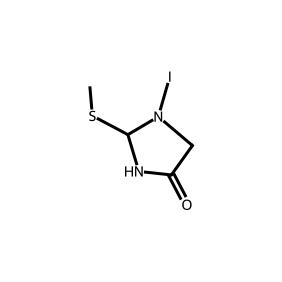 CSC1NC(=O)CN1I